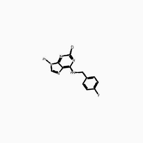 CC(C)n1cnc2c(NCc3ccc(F)cc3)nc(Cl)nc21